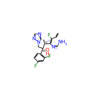 C=C/C(F)=C(\N=C/N)[C@H](C)[C@](O)(Cn1cncn1)c1ccc(F)cc1F